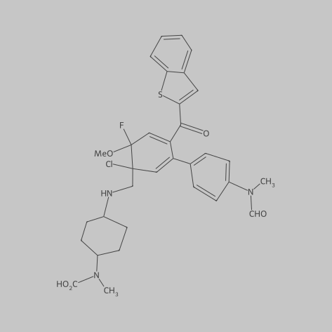 COC1(F)C=C(C(=O)c2cc3ccccc3s2)C(c2ccc(N(C)C=O)cc2)=CC1(Cl)CNC1CCC(N(C)C(=O)O)CC1